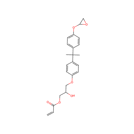 C=CC(=O)OCC(O)COc1ccc(C(C)(C)c2ccc(OC3CO3)cc2)cc1